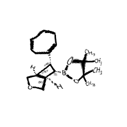 CC1(C)OB([C@@H]2[C@H]3COC[C@H]3[C@@H]2c2ccccc2)OC1(C)C